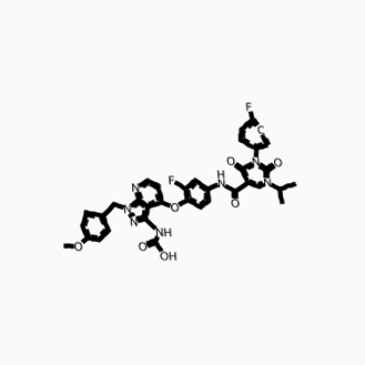 COc1ccc(Cn2nc(NC(=O)O)c3c(Oc4ccc(NC(=O)c5cn(C(C)C)c(=O)n(-c6ccc(F)cc6)c5=O)cc4F)ccnc32)cc1